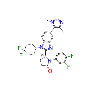 Cc1ncn(C)c1-c1ccc2c(c1)nc([C@@H]1CCC(=O)N1c1ccc(F)c(F)c1)n2C1CCC(F)(F)CC1